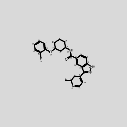 CC1CC(c2n[nH]c3ccc(C(=O)NC4CCCC(Oc5ccccc5F)C4)cc23)=CC=N1